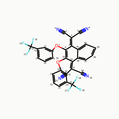 N#CC(C#N)=c1c(Oc2cccc(C(F)(F)F)c2)c(Oc2cccc(C(F)(F)F)c2)c(=C(C#N)C#N)c2ccccc12